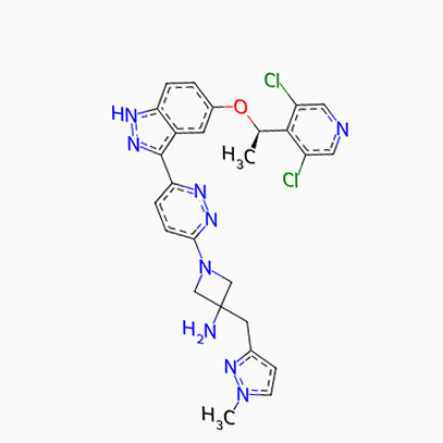 C[C@@H](Oc1ccc2[nH]nc(-c3ccc(N4CC(N)(Cc5ccn(C)n5)C4)nn3)c2c1)c1c(Cl)cncc1Cl